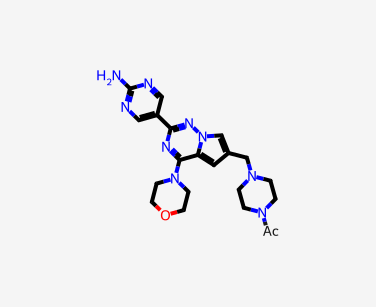 CC(=O)N1CCN(Cc2cc3c(N4CCOCC4)nc(-c4cnc(N)nc4)nn3c2)CC1